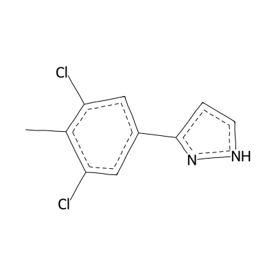 Cc1c(Cl)cc(-c2cc[nH]n2)cc1Cl